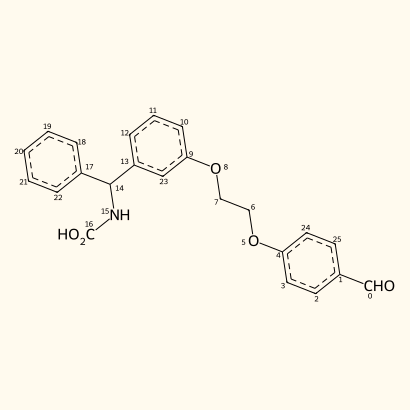 O=Cc1ccc(OCCOc2cccc(C(NC(=O)O)c3ccccc3)c2)cc1